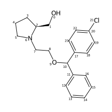 OC[C@@H]1CCCN1CCOC(c1ccccc1)c1ccc(Cl)cc1